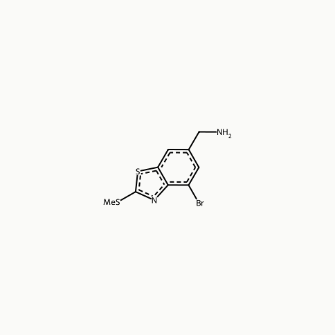 CSc1nc2c(Br)cc(CN)cc2s1